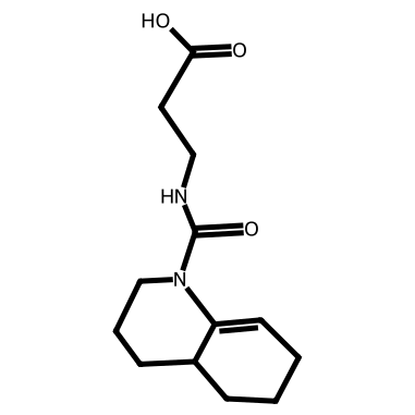 O=C(O)CCNC(=O)N1CCCC2CCCC=C21